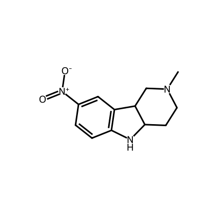 CN1CCC2Nc3ccc([N+](=O)[O-])cc3C2C1